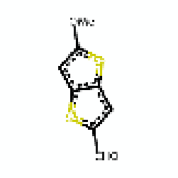 COc1cc2sc(C=O)cc2s1